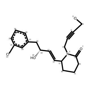 [O]CC#CCN1C(=O)CCCC1/C=C/[C@H](O)Cc1cccc(Cl)c1